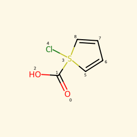 O=C(O)S1(Cl)C=CC=C1